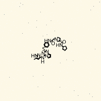 Cc1cc(Nc2nc(Sc3ccc(NC(=O)CN4CC[C@H](C(=O)NC5CCCC5)C4)cc3)nc3cccn23)n[nH]1